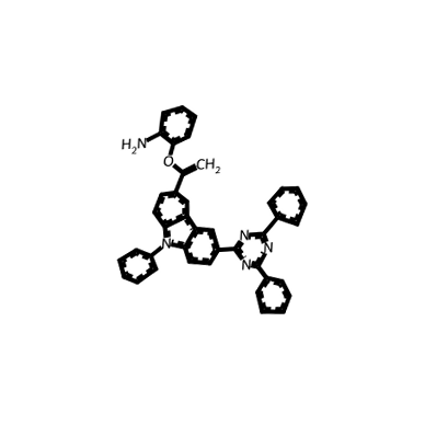 C=C(Oc1ccccc1N)c1ccc2c(c1)c1cc(-c3nc(-c4ccccc4)nc(-c4ccccc4)n3)ccc1n2-c1ccccc1